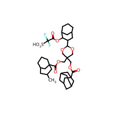 CC1CC2CCCC(C(=O)OCC3(COC(=O)C45CC6CC(CC(C6)C4)C5)COC(C4CC5CCCC(C5)C4OC(=O)C(F)(F)S(=O)(=O)O)OC3)(C1)C2